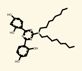 CCCCCCCCN(CCCCCCCC)c1nc(-c2ccc(O)cc2O)nc(-c2ccc(O)cc2O)n1